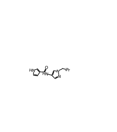 CC(C)Cn1cc(NC(=O)c2cc[nH]c2)cn1